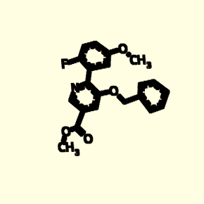 COC(=O)c1cnc(-c2cc(OC)ccc2F)c(OCc2ccccc2)c1